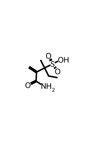 C=C(C(N)=O)C(C)(CC)S(=O)(=O)O